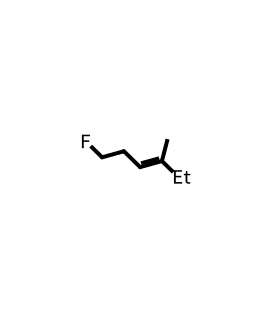 CCC(C)=CCCF